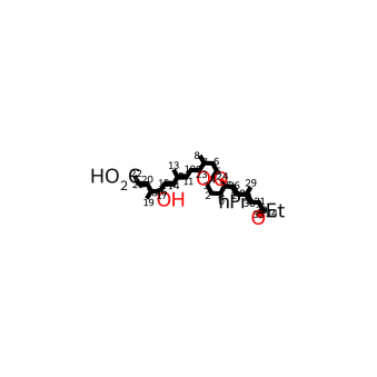 CCCC1CC[C@@]2(CCC(C)C(C/C=C(C)/C=C/C(O)C(C)/C=C/C(=O)O)O2)OC1/C=C/C(C)=C/CC(=O)CC